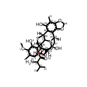 COc1c(C)cc2c(c1O)[C@@H]1C3[C@@H]4SCC(NC(=O)C(N)C(C)C)C(=O)OC[C@@H](c5c6c(c(C)c(O)c54)OCO6)N3[C@@H](O)[C@H](C2)N1C